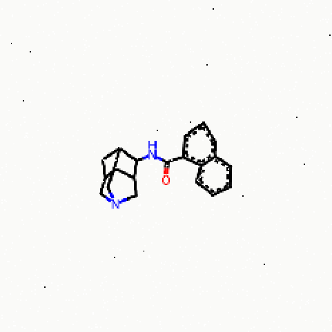 O=C(NC1C2CC3CC1CN(C3)C2)c1cccc2ccccc12